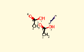 CC(=O)O.CC(=O)O.II